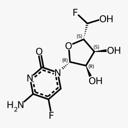 Nc1nc(=O)n([C@@H]2O[C@H](C(O)F)[C@@H](O)[C@H]2O)cc1F